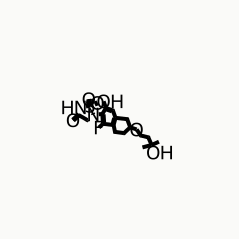 CC(C)(O)CCOC1CCc2c(cc(O)c(N3CC(=O)NS3(=O)=O)c2F)C1